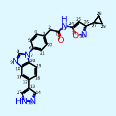 O=C(Cc1ccc(-n2cnc3cc(-c4cn[nH]c4)ccc32)cc1)Nc1cc(C2CC2)no1